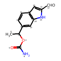 CC(OC(N)=O)c1ccc2cc(C=O)[nH]c2c1